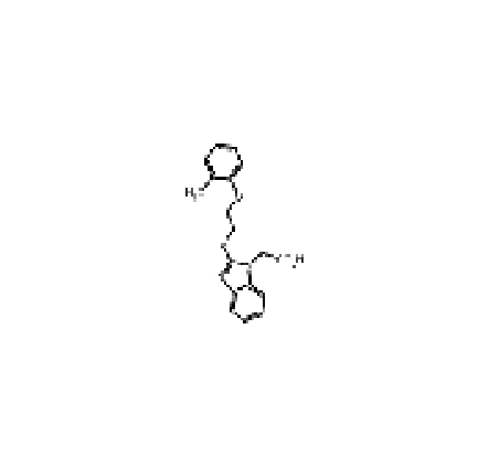 Cc1ccccc1OCCSc1nc2ccccc2n1CC(=O)O